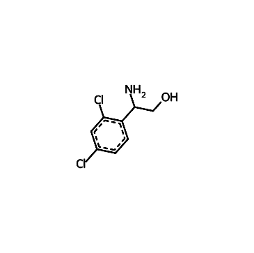 NC(CO)c1ccc(Cl)cc1Cl